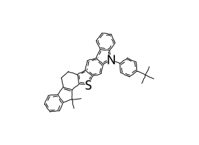 CC(C)(C)c1ccc(-n2c3ccccc3c3cc4c5c(sc4cc32)C2=C(CC5)c3ccccc3C2(C)C)cc1